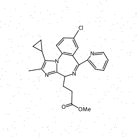 COC(=O)CCC1N=C(c2ccccn2)c2cc(Cl)ccc2-n2c1nc(C)c2C1CC1